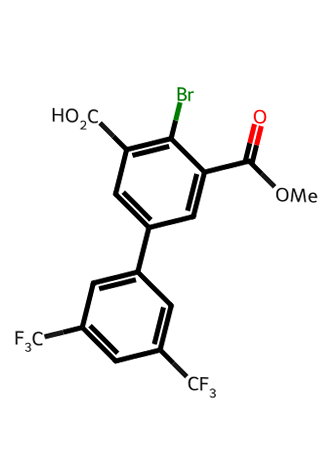 COC(=O)c1cc(-c2cc(C(F)(F)F)cc(C(F)(F)F)c2)cc(C(=O)O)c1Br